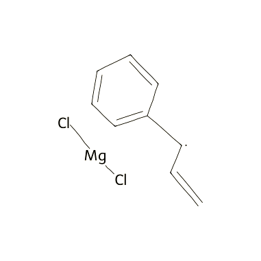 C=C[CH]c1ccccc1.[Cl][Mg][Cl]